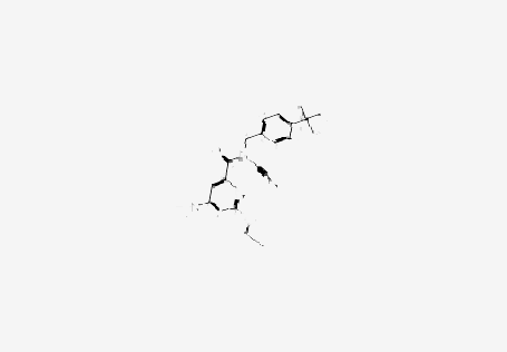 CCOc1cc(N)cc(C(=O)N(C#N)Cc2ccc(C(C)(C)C)cc2)n1